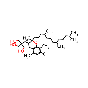 Cc1[c]c(C)c2c(c1C)OC(C)(CCCC(C)CCCC(C)CCCC(C)C)C(CC(CO)(CO)CO)C2